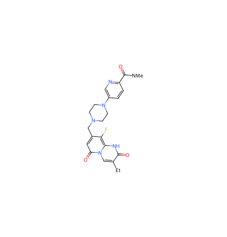 CCc1cn2c(=O)cc(CN3CCN(c4ccc(C(=O)NC)nc4)CC3)c(F)c2[nH]c1=O